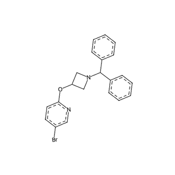 Brc1ccc(OC2CN(C(c3ccccc3)c3ccccc3)C2)nc1